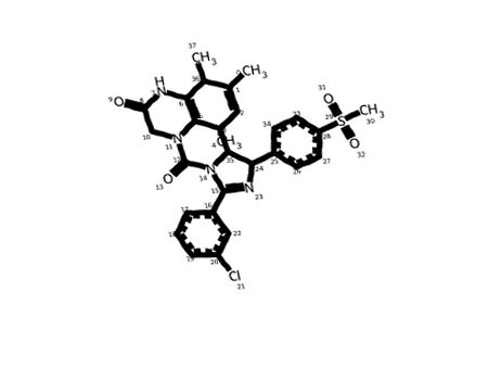 CC1=CC2(C)C3=C(NC(=O)CN3C(=O)N3C(c4cccc(Cl)c4)=NC(c4ccc(S(C)(=O)=O)cc4)C32)C1C